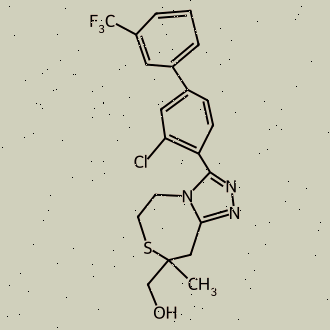 CC1(CO)Cc2nnc(-c3ccc(-c4cccc(C(F)(F)F)c4)cc3Cl)n2CCS1